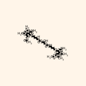 CC(=O)OC[C@H]1O[C@@H](OCCCCCNC(=O)OCC(O)COC(=O)NCCCCCO[C@@H]2O[C@H](COC(C)=O)[C@H](OC(C)=O)[C@H](OC(C)=O)[C@H]2CC(N)=O)[C@H](CC(N)=O)[C@@H](OC(C)=O)[C@H]1OC(C)=O